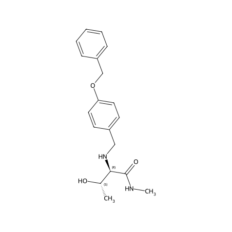 CNC(=O)[C@H](NCc1ccc(OCc2ccccc2)cc1)[C@H](C)O